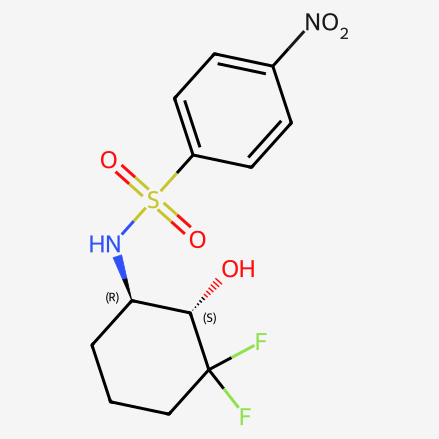 O=[N+]([O-])c1ccc(S(=O)(=O)N[C@@H]2CCCC(F)(F)[C@H]2O)cc1